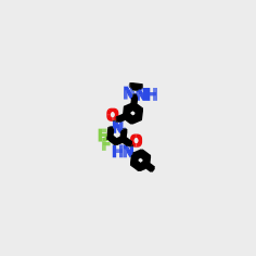 Cc1ccc(NC(=O)C2CN(C(=O)c3cccc(-c4ncc[nH]4)c3)CC(F)(F)C2)cc1